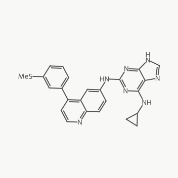 CSc1cccc(-c2ccnc3ccc(Nc4nc(NC5CC5)c5nc[nH]c5n4)cc23)c1